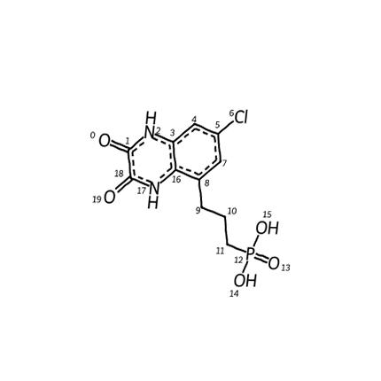 O=c1[nH]c2cc(Cl)cc(CCCP(=O)(O)O)c2[nH]c1=O